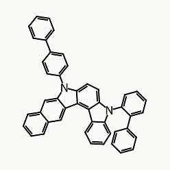 c1ccc(-c2ccc(-n3c4cc5ccccc5cc4c4c5c6ccccc6n(-c6ccccc6-c6ccccc6)c5ccc43)cc2)cc1